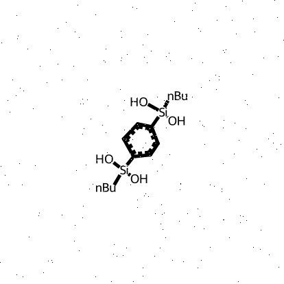 CCCC[Si](O)(O)c1ccc([Si](O)(O)CCCC)cc1